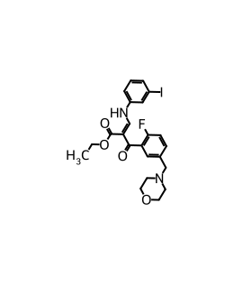 CCOC(=O)/C(=C\Nc1cccc(I)c1)C(=O)c1cc(CN2CCOCC2)ccc1F